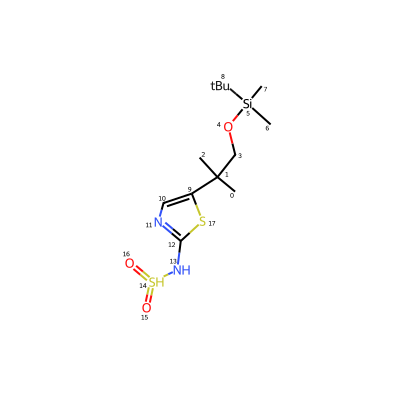 CC(C)(CO[Si](C)(C)C(C)(C)C)c1cnc(N[SH](=O)=O)s1